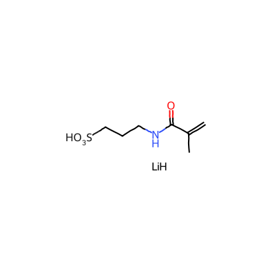 C=C(C)C(=O)NCCCS(=O)(=O)O.[LiH]